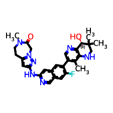 Cc1c(-c2cc3cc(Nc4cc5n(n4)CC(=O)N(C)CC5)ncc3cc2F)cnc2c1NCC(C)(C)[C@H]2O